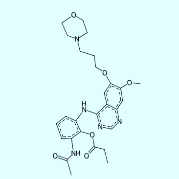 CCC(=O)Oc1c(NC(C)=O)cccc1Nc1ncnc2cc(OC)c(OCCCN3CCOCC3)cc12